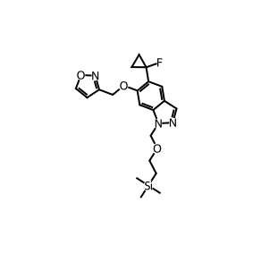 C[Si](C)(C)CCOCn1ncc2cc(C3(F)CC3)c(OCc3ccon3)cc21